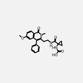 COc1ccc2c(=O)n(C)c(CCNC(=O)C3(NC(=O)O)CC3)c(-c3ccccc3)c2c1